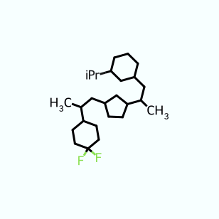 CC(C)C1CCCC(CC(C)C2CCC(CC(C)C3CCC(F)(F)CC3)C2)C1